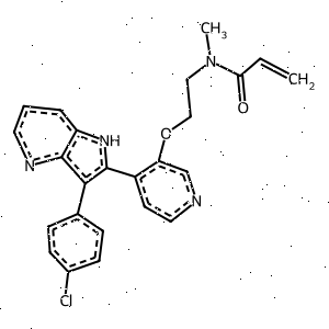 C=CC(=O)N(C)CCOc1cnccc1-c1[nH]c2cccnc2c1-c1ccc(Cl)cc1